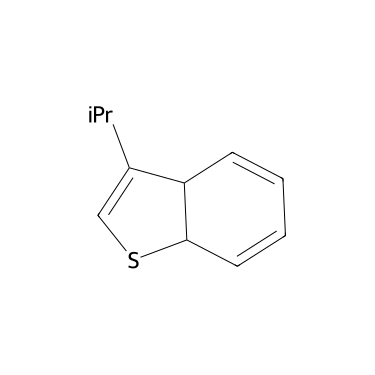 CC(C)C1=CSC2C=CC=CC12